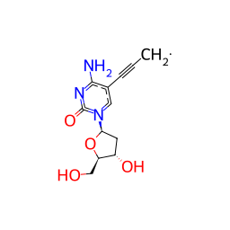 [CH2]C#Cc1cn([C@H]2C[C@H](O)[C@@H](CO)O2)c(=O)nc1N